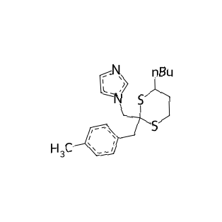 CCCCC1CCSC(Cc2ccc(C)cc2)(Cn2ccnc2)S1